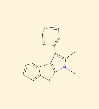 Cc1c(-c2ccccc2)c2c3ccccc3sc2n1C